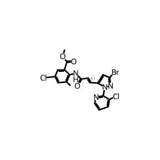 COC(=O)c1cc(Cl)cc(C)c1NC(=O)/C=C/c1cc(Br)nn1-c1ncccc1Cl